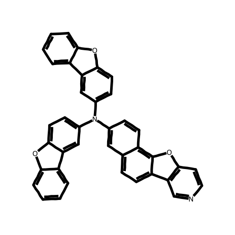 c1ccc2c(c1)oc1ccc(N(c3ccc4c(ccc5c6cnccc6oc45)c3)c3ccc4oc5ccccc5c4c3)cc12